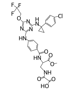 COC(=O)C(CNC(=O)C(=O)O)NC(=O)c1ccc(Nc2nc(NC3(c4ccc(Cl)cc4)CC3)nc(OCC(F)(F)F)n2)cc1